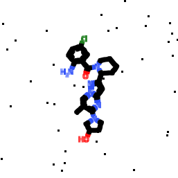 Cc1cn2nc(C3CCCCN3C(=O)c3cc(Cl)ccc3N)cc2nc1N1CCC(O)C1